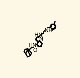 Cc1cccc(CNCCNc2ccc3c(NC(=O)CC45CC6CC(CC(C6)C4)C5)cccc3n2)c1